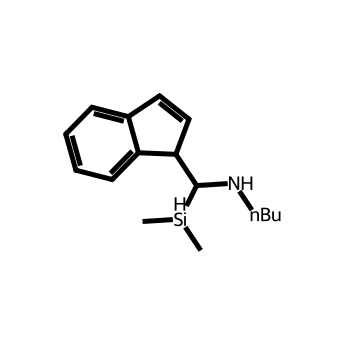 CCCCNC(C1C=Cc2ccccc21)[SiH](C)C